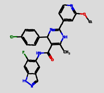 CCOc1cc(C2=NC(c3ccc(Cl)cc3)C(C(=O)Nc3cc4cn[nH]c4cc3F)=C(C)N2)ccn1